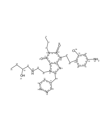 CCCn1c(=O)c2c(nc(Cc3ccnnc3)n2CCNCC(O)CC)n(CCc2ccc(N)cc2Cl)c1=O